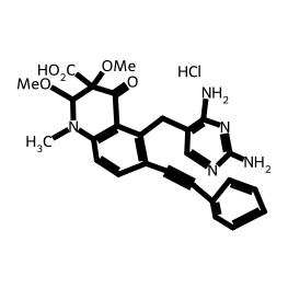 COC1N(C)c2ccc(C#Cc3ccccc3)c(Cc3cnc(N)nc3N)c2C(=O)C1(OC)C(=O)O.Cl